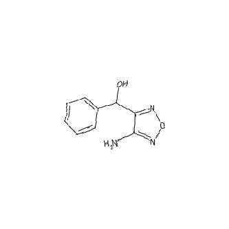 Nc1nonc1C(O)c1ccccc1